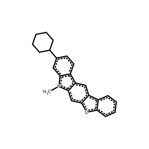 Cn1c2cc(C3CCCCC3)ccc2c2cc3c(cc21)oc1ccccc13